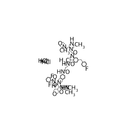 CN[C@@H](C)C(=O)N[C@H](C(=O)N1Cc2ccc(NC(=O)CCNC(=O)[C@]3(C)CN(C(=O)CN4C[C@@H](C)NC[C@@H]4CN4CCOC[C@H]4C)c4cc(Cc5ccc(F)cc5)ccc43)cc2[C@H]1C(=O)Nc1c(F)cccc1F)C1CCOCC1.Cl.Cl.Cl